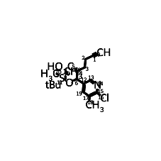 C#CCC[C@@H](C(=O)O)C(O[Si](C)(C)C(C)(C)C)c1cnc(Cl)c(C)c1